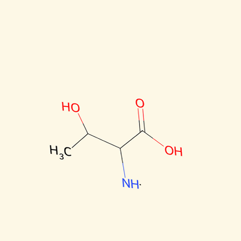 CC(O)C([NH])C(=O)O